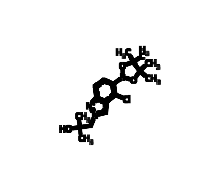 CC(C)(O)Cn1cc2c(Cl)c(B3OC(C)(C)C(C)(C)O3)ccc2n1